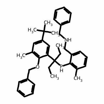 CCC(CC)(Pc1c(C)cccc1CNCc1ccccc1)c1cc(C(C)(C)C)cc(C)c1OCc1ccccc1